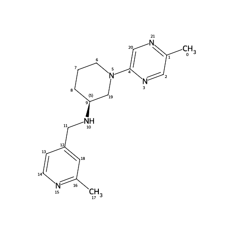 Cc1cnc(N2CCC[C@H](NCc3ccnc(C)c3)C2)cn1